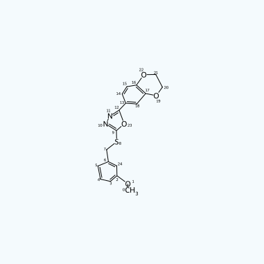 COc1cccc(CSc2nnc(-c3ccc4c(c3)OCCO4)o2)c1